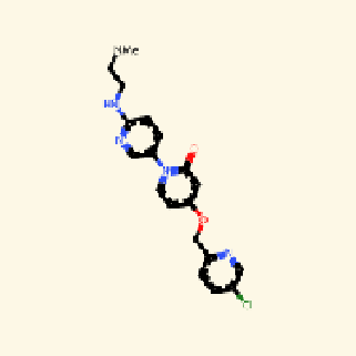 CNCCNc1ccc(-n2ccc(OCc3ccc(Cl)cn3)cc2=O)cn1